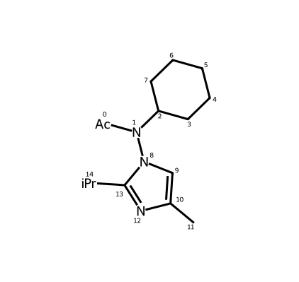 CC(=O)N(C1CCCCC1)n1cc(C)nc1C(C)C